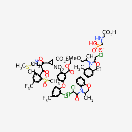 CC1COc2ccccc2N1C(=O)C(Cl)Cl.CCOC(=O)COC(=O)c1cc(Oc2ccc(C(F)(F)F)cc2Cl)ccc1[N+](=O)[O-].CCc1cccc(C)c1N(C(=O)CCl)C(C)COC.CS(=O)(=O)c1cc(C(F)(F)F)ccc1C(=O)c1cnoc1C1CC1.C[S+](C)C.O=C(O)CNCP(=O)([O-])O